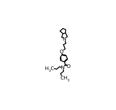 CCCN(CCC)C(=O)c1ccc(OCCCN2CC3CCCC3C2)cc1